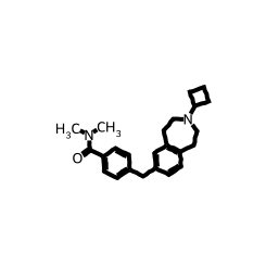 CN(C)C(=O)c1ccc(Cc2ccc3c(c2)CCN(C2CCC2)CC3)cc1